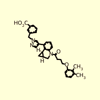 Cc1cccc(OCCCC(=O)N2C[C@H]3C[C@H]3c3c(-c4cnn(Cc5cccc(C(=O)O)c5)c4)cccc32)c1C